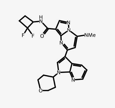 CNc1cc(-c2cn(C3CCOCC3)c3ncccc23)nc2c(C(=O)NC3CCC3(F)F)cnn12